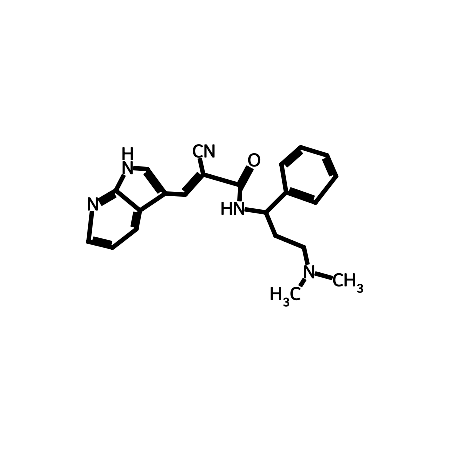 CN(C)CCC(NC(=O)/C(C#N)=C/c1c[nH]c2ncccc12)c1ccccc1